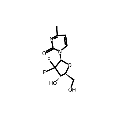 Cc1ccn([C@H]2O[C@@H](CO)[C@H](O)C2(F)F)c(=O)n1